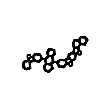 c1ccc2c(c1)ccc1c3cc4c(cc3oc21)oc1ccc(-c2c3ccccc3c(-c3ccc5oc6ccccc6c5c3)c3ccccc23)cc14